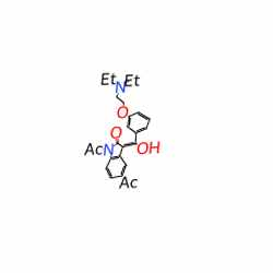 CCN(CC)CCOc1cccc(C(O)=C2C(=O)N(C(C)=O)c3ccc(C(C)=O)cc32)c1